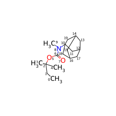 CCC(C)(C)OC(=O)N(C)C12CC3CC(CC(C3)C1)C2